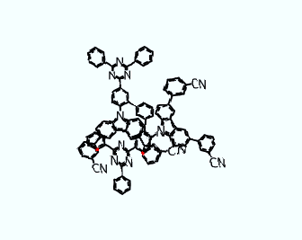 N#Cc1cccc(-c2ccc3c(c2)c2cc(-c4cccc(C#N)c4)ccc2n3-c2ccc(-c3nc(-c4ccccc4)nc(-c4ccccc4)n3)cc2-c2cccc(-c3cc(-c4nc(-c5ccccc5)nc(-c5ccccc5)n4)ccc3-n3c4ccc(-c5cccc(C#N)c5)cc4c4cc(-c5cccc(C#N)c5)ccc43)c2)c1